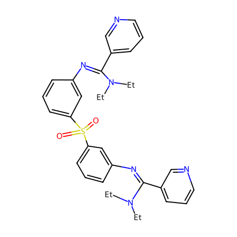 CCN(CC)C(=Nc1cccc(S(=O)(=O)c2cccc(N=C(c3cccnc3)N(CC)CC)c2)c1)c1cccnc1